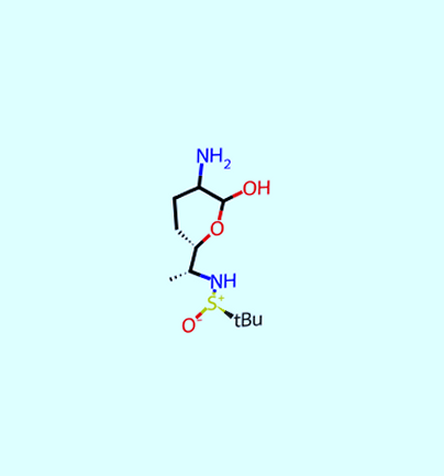 C[C@@H](N[S@+]([O-])C(C)(C)C)[C@@H]1CCC(N)C(O)O1